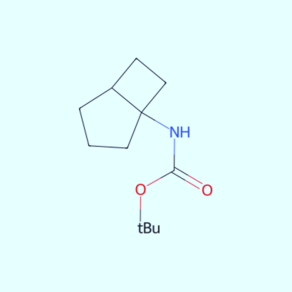 CC(C)(C)OC(=O)NC12CCCC1CC2